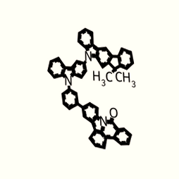 CC1(C)c2ccccc2-c2cc3c4ccccc4n(-c4ccc5c(c4)c4ccccc4n5-c4cccc(-c5ccc6c(c5)c5cccc7c8ccccc8c(=O)n6c75)c4)c3cc21